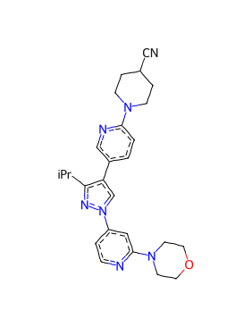 CC(C)c1nn(-c2ccnc(N3CCOCC3)c2)cc1-c1ccc(N2CCC(C#N)CC2)nc1